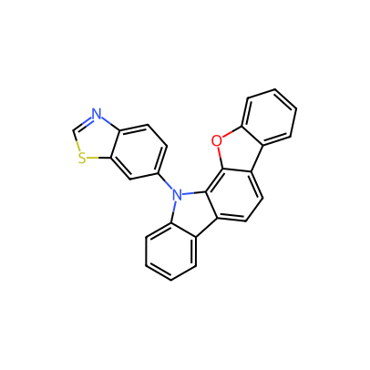 c1ccc2c(c1)oc1c2ccc2c3ccccc3n(-c3ccc4ncsc4c3)c21